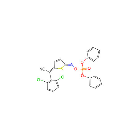 N#CC(=C1C=CC(=NOP(=O)(Oc2ccccc2)Oc2ccccc2)S1)c1c(Cl)cccc1Cl